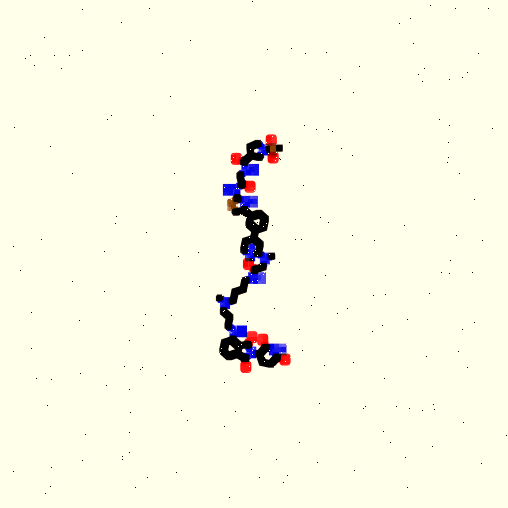 CN(CCCCNC(=O)CN(C)C1CC(c2cccc(C3CSC(NC(=O)CNC(=O)C4CCN(S(C)(=O)=O)C4)N3)c2)CCN1)CCCNc1cccc2c1C(=O)N(C1CCC(=O)NC1=O)C2=O